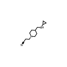 N#CCCN1CCC(CNC2CC2)CC1